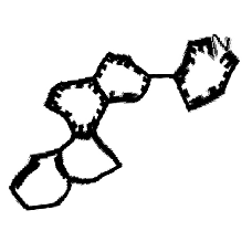 C1=CC2=C(CC1)CCc1c2ccc2ccc(-c3cccnc3)cc12